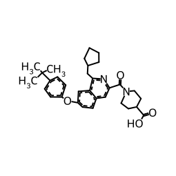 CC(C)(C)c1ccc(Oc2ccc3cc(C(=O)N4CCC(C(=O)O)CC4)nc(CC4CCCC4)c3c2)cc1